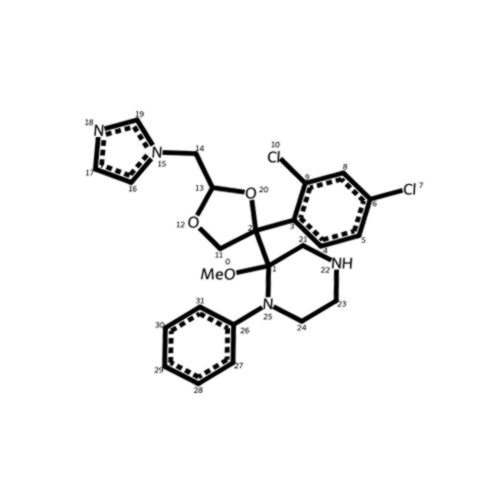 COC1(C2(c3ccc(Cl)cc3Cl)COC(Cn3ccnc3)O2)CNCCN1c1ccccc1